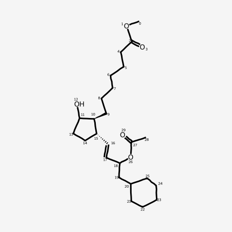 COC(=O)CCCCCC[C@@H]1C(O)CC[C@H]1C=CC(CC1CCCCC1)OC(C)=O